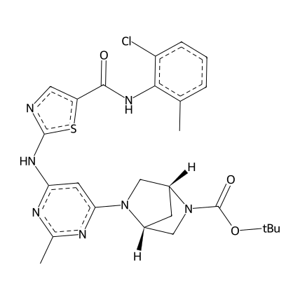 Cc1nc(Nc2ncc(C(=O)Nc3c(C)cccc3Cl)s2)cc(N2C[C@H]3C[C@@H]2CN3C(=O)OC(C)(C)C)n1